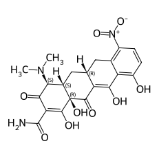 CN(C)[C@@H]1C(=O)C(C(N)=O)=C(O)[C@@]2(O)C(=O)C3=C(O)c4c(O)ccc([N+](=O)[O-])c4C[C@H]3C[C@@H]12